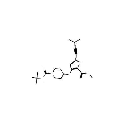 COC(=O)c1sc(C#CC(C)C)cc1NC1CCN(C(=O)OC(C)(C)C)CC1